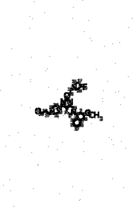 COc1cc(N2CCc3c(nc(OCCN4CC[C@@H](F)C4)nc3N3CCN(C=CC=O)CC3)C2)c2ccccc2c1